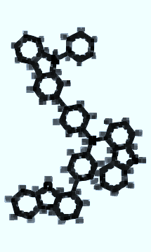 c1ccc(-n2c3ccccc3c3ccc(-c4ccc(N(c5ccc(-c6cccc7c6oc6ccccc67)cc5)c5cccc6sc7ccccc7c56)cc4)cc32)cc1